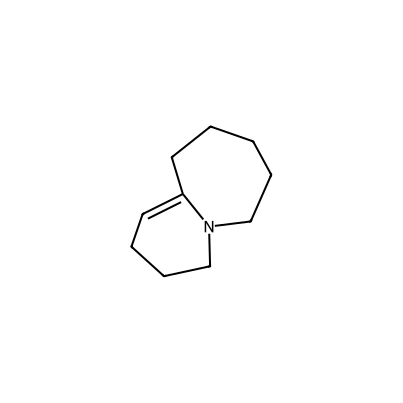 C1=C2CCCCCN2CCC1